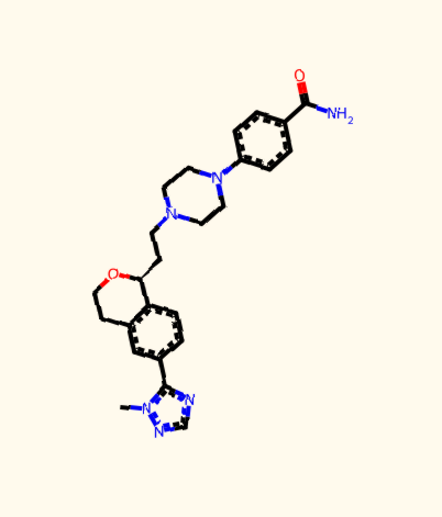 Cn1ncnc1-c1ccc2c(c1)CCO[C@H]2CCN1CCN(c2ccc(C(N)=O)cc2)CC1